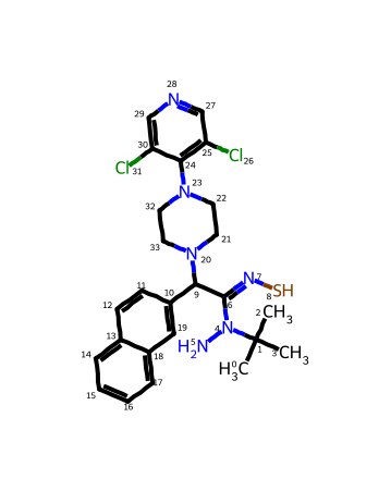 CC(C)(C)N(N)/C(=N\S)C(c1ccc2ccccc2c1)N1CCN(c2c(Cl)cncc2Cl)CC1